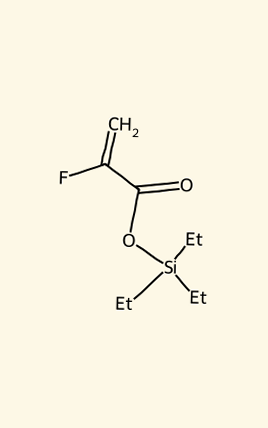 C=C(F)C(=O)O[Si](CC)(CC)CC